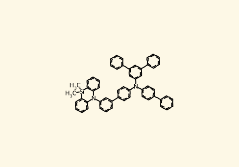 C[Si]1(C)c2ccccc2N(c2cccc(-c3ccc(N(c4ccc(-c5ccccc5)cc4)c4cc(-c5ccccc5)cc(-c5ccccc5)c4)cc3)c2)c2ccccc21